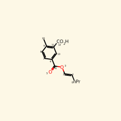 CCCC=COC(=O)c1ccc(C)c(C(=O)O)c1